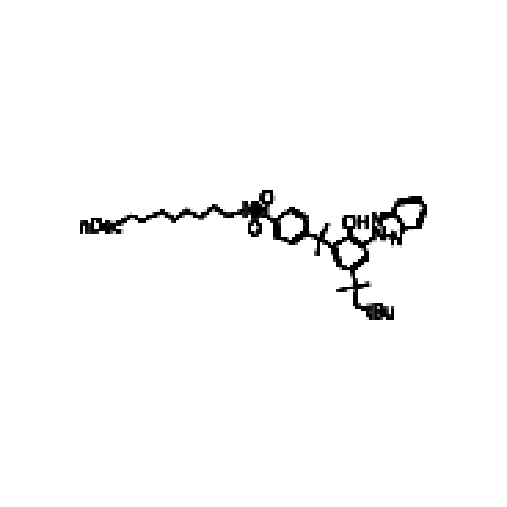 CCCCCCCCCCCCCCCCCCNS(=O)(=O)c1ccc(C(C)(C)c2cc(C(C)(C)CC(C)(C)C)cc(-n3nc4ccccc4n3)c2O)cc1